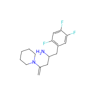 C=C(CC(N)Cc1cc(F)c(F)cc1F)N1CCCCC1